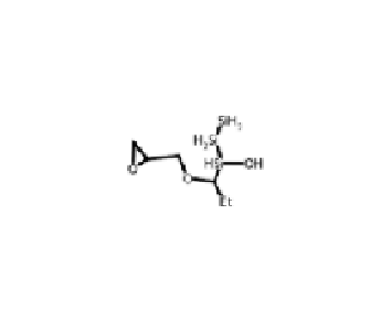 CCC(OCC1CO1)[SiH](O)[SiH2][SiH3]